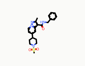 Cc1nn2ccc(C3CCN(S(C)(=O)=O)CC3)cc2c1C(=O)NCc1ccccc1